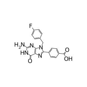 Nc1nc2c(nc(-c3ccc(C(=O)O)cc3)n2Cc2ccc(F)cc2)c(=O)[nH]1